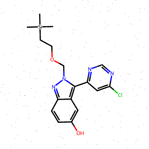 C[Si](C)(C)CCOCn1nc2ccc(O)cc2c1-c1cc(Cl)ncn1